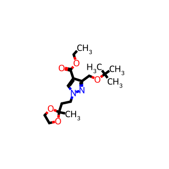 CCOC(=O)c1cn(CCC2(C)OCCO2)nc1COC(C)(C)C